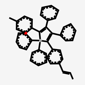 C/C=C/c1ccc(C2=C(c3ccccc3)C(c3ccccc3)=C(c3ccc(C)cc3)[Si]2(c2ccccc2)c2ccccc2)cc1